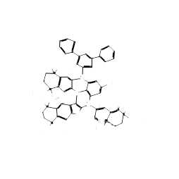 C=C/C(=C\C1=C(C)C(C)(C)CCC1(C)C)N1c2cc(C)cc3c2B(c2cc4c(cc2N3c2cc(-c3ccccc3)cc(-c3ccccc3)c2)C(C)(C)CCC4(C)C)c2c1sc1cc3c(cc21)C(C)(C)CCC3(C)C